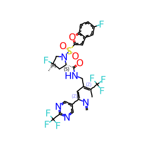 C=N/C(=C\C(CNC(=O)[C@@H]1C[C@@](C)(F)CN1S(=O)(=O)c1cc2cc(F)ccc2o1)=C(/C)C(F)(F)F)c1cnc(C(F)(F)F)nc1